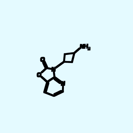 NC1CC(n2c(=O)oc3cccnc32)C1